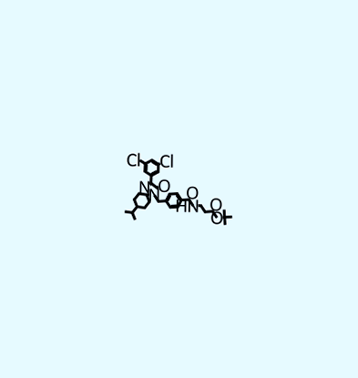 CC(C)C1CCC2(CC1)N=C(c1cc(Cl)cc(Cl)c1)C(=O)N2Cc1ccc(C(=O)NCCC(=O)OC(C)(C)C)cc1